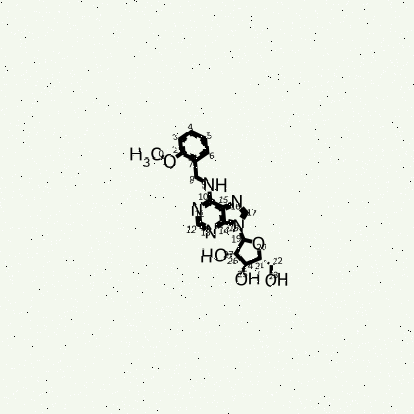 COc1ccccc1CNc1ncnc2c1ncn2C1O[C@H](CO)[C@@H](O)[C@@H]1O